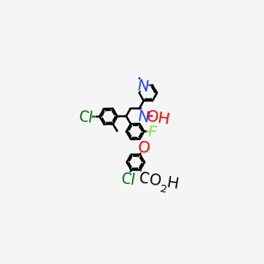 Cc1cc(Cl)ccc1C(CC(=NO)C1=CC=CN(C)C1)c1ccc(Oc2ccc(Cl)c(C(=O)O)c2)c(F)c1